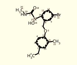 CCc1ccc(OCc2cc(Br)ccc2N(O)C(=O)NC)c(C)c1